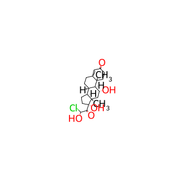 C[C@]12C=CC(=O)C=C1CC[C@@H]1[C@@H]2[C@H](O)C[C@@]2(C)[C@H]1CC[C@]2(O)C(=O)C(O)Cl